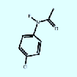 CC(=O)N(F)c1ccc(Cl)cc1